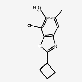 Cc1cc2nc(C3CCC3)oc2c(Cl)c1N